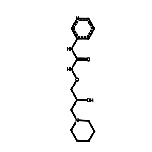 O=C(NOCC(O)CN1CCCCC1)Nc1cccnc1